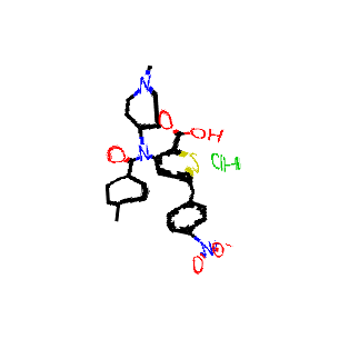 CC1CCC(C(=O)N(c2cc(-c3ccc([N+](=O)[O-])cc3)sc2C(=O)O)C2CCN(C)CC2)CC1.Cl